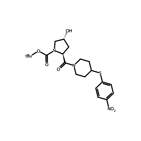 CC(C)(C)OC(=O)N1C[C@H](O)C[C@H]1C(=O)N1CCC(Sc2ccc([N+](=O)[O-])cc2)CC1